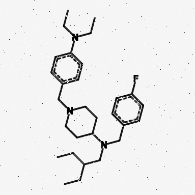 CCC(CC)CN(Cc1ccc(F)cc1)C1CCN(Cc2ccc(N(CC)CC)cc2)CC1